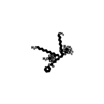 CCCCCCCCCCC(CN(CCCOC(=O)Oc1ccccn1)CC(CCCCCCCCCC)O[Si](C)(C)C(C)(C)C)O[Si](C)(C)C(C)(C)C